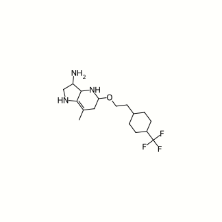 CC1=C2NCC(N)C2NC(OCCC2CCC(C(F)(F)F)CC2)C1